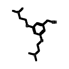 CN(C)CCOc1cc(CO)cc(OCCN(C)C)c1